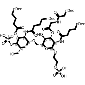 CCCCCCCCCCCCCC(=O)N[C@H]1[C@H](OC[C@H]2O[C@H](OCCOP(=O)(O)O)[C@H](NC(=O)CCCCCCCCCCCCC)[C@@H](OC(=O)CNC(=O)CCCCCCCCCCC)[C@@H]2O)O[C@H](CO)[C@@H](OP(=O)(O)O)[C@@H]1OC(=O)CCCCCCCCCCCCC